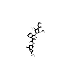 Cc1cn2cc(NC(=O)c3nnc(N4C[C@@H](C)N(C(=O)OC(C)(C)C)[C@@H](C)C4)c4nccnc34)cc(F)c2n1